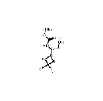 CC(C)(C)OC(=O)N[C@H](CO)C1CC(F)(F)C1